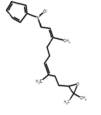 CC(=CC[S+]([O-])c1ccccc1)CCC=C(C)CCC1OC1(C)C